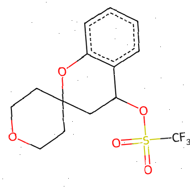 O=S(=O)(OC1CC2(CCOCC2)Oc2ccccc21)C(F)(F)F